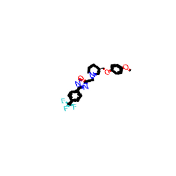 COc1ccc(OC[C@H]2CCCN(Cc3nc(-c4ccc(C(F)(F)F)cc4)no3)C2)cc1